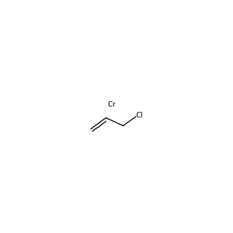 C=CCCl.[Cr]